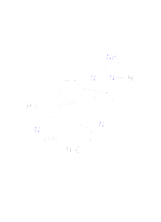 CCc1ccc(C2(c3cccc(-c4cccnc4C)c3)N=C(N)N(C)C2=O)cn1